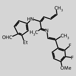 C\C=C/C=C(Nc1ccc(C=O)c(CC)c1)\C(C)=N\C=C(/C)c1ccc(OC)c(F)c1F